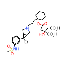 CCC1(c2cccc(NS(C)(=O)=O)c2)C2CN(CCCC3(OC(=O)CC(O)(CC(=O)O)C(=O)O)CCCCC3)CC21